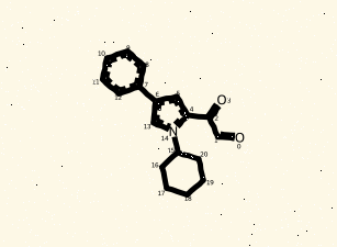 O=CC(=O)c1cc(-c2ccccc2)cn1C1CCCCC1